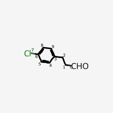 O=CCCc1ccc(Cl)cc1